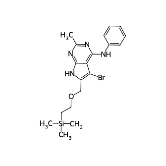 Cc1nc(Nc2ccccc2)c2c(Br)c(COCC[Si](C)(C)C)[nH]c2n1